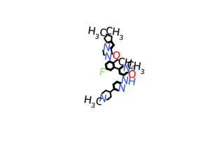 CCc1c(-c2cc(Nc3ccc(C4CCN(C)CC4)cn3)c(=O)n(C)c2)cc(F)cc1N1CCn2c(cc3c2CC(C)(C)C3)C1=O